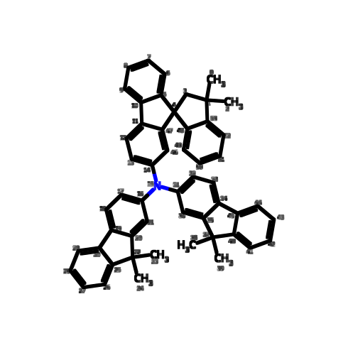 CC1(C)CC2(c3ccccc3-c3ccc(N(c4ccc5c(c4)C(C)(C)c4ccccc4-5)c4ccc5c(c4)C(C)(C)c4ccccc4-5)cc32)c2ccccc21